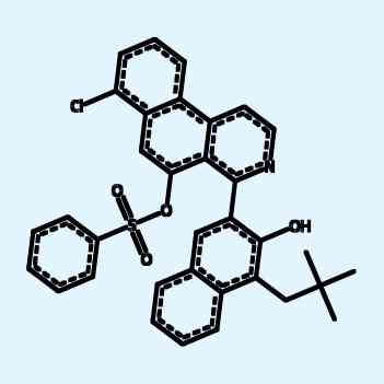 CC(C)(C)Cc1c(O)c(-c2nccc3c2c(OS(=O)(=O)c2ccccc2)cc2c(Cl)cccc23)cc2ccccc12